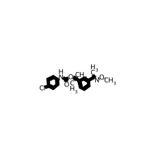 CO/N=C(\C)c1cccc(C(C)(C)OC(=O)Nc2ccc(Cl)cc2)c1